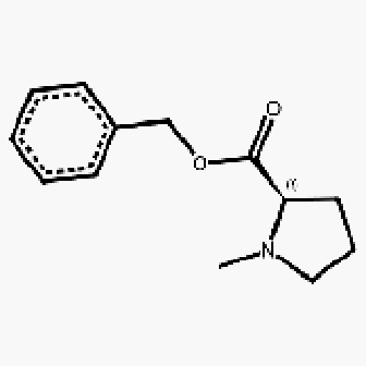 CN1CCC[C@@H]1C(=O)OCc1ccccc1